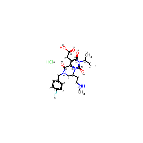 CNCCC1CN(Cc2ccc(F)cc2)C(=O)c2c(CC(=O)O)c(=O)n(C(C)C)c(=O)n21.Cl